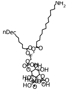 CCCCCCCCCCCCCCCC(=O)O[C@H](COC(=O)CCCCCCCCCCCCCN)COP(=O)(O)OC1C(O)[C@H](O)C(OP(=O)(O)O)[C@H](OP(=O)(O)O)[C@@H]1O